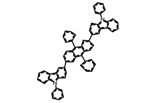 c1ccc(-c2c3ccc(-c4ccc5c(c4)c4ccccc4n5-c4ccccc4)cc3c(-c3ccccc3)c3ccc(-c4ccc5c(c4)c4ccccc4n5-c4ccccc4)cc23)cc1